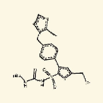 CCCCNC(=O)NS(=O)(=O)c1sc(CC(C)C)cc1-c1ccc(Cn2ccnc2C)cc1